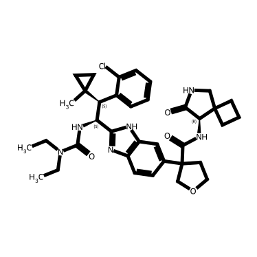 CCN(CC)C(=O)N[C@H](c1nc2ccc(C3(C(=O)N[C@H]4C(=O)NCC45CCC5)CCOC3)cc2[nH]1)[C@H](c1ccccc1Cl)C1(C)CC1